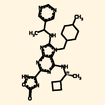 CC1CCC(Cn2c(NC(C)c3cncnc3)nc3nc(-c4nc(=O)o[nH]4)nc(N[C@H](C)C4CCC4)c32)CC1